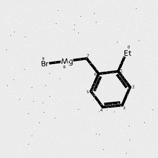 CCc1ccccc1[CH2][Mg][Br]